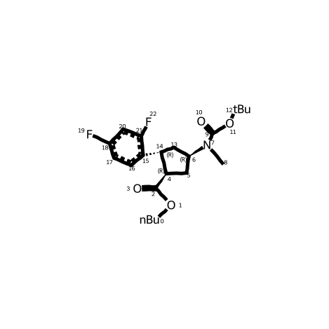 CCCCOC(=O)[C@@H]1C[C@H](N(C)C(=O)OC(C)(C)C)C[C@H]1c1ccc(F)cc1F